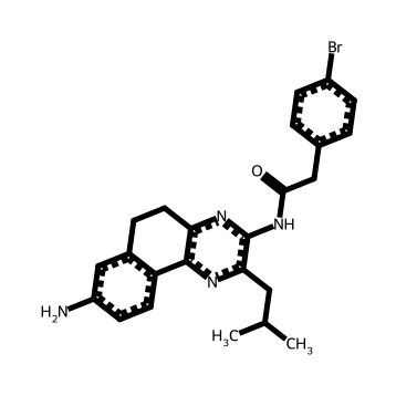 CC(C)Cc1nc2c(nc1NC(=O)Cc1ccc(Br)cc1)CCc1cc(N)ccc1-2